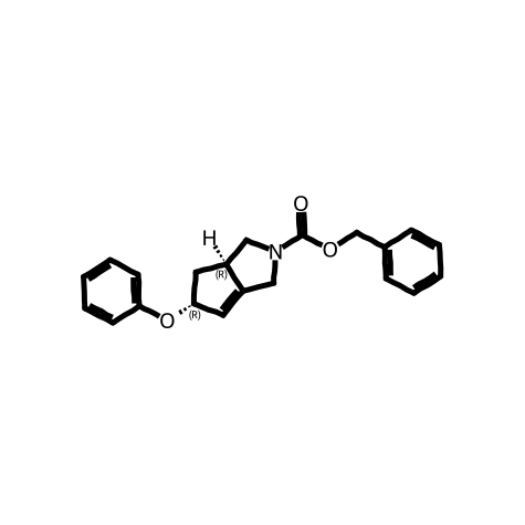 O=C(OCc1ccccc1)N1CC2=C[C@H](Oc3ccccc3)C[C@H]2C1